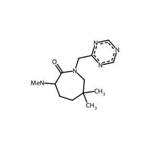 CNC1CCC(C)(C)CN(Cc2ncncn2)C1=O